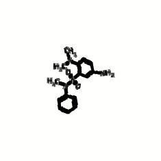 CN(C)c1ccc(N)cc1S(=O)(=O)N(C)c1ccccc1